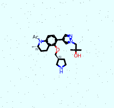 CC(=O)N1c2ccc(-c3cnn(CC(C)(C)O)c3)c(OC[C@H]3CCNC3)c2CC[C@@H]1C